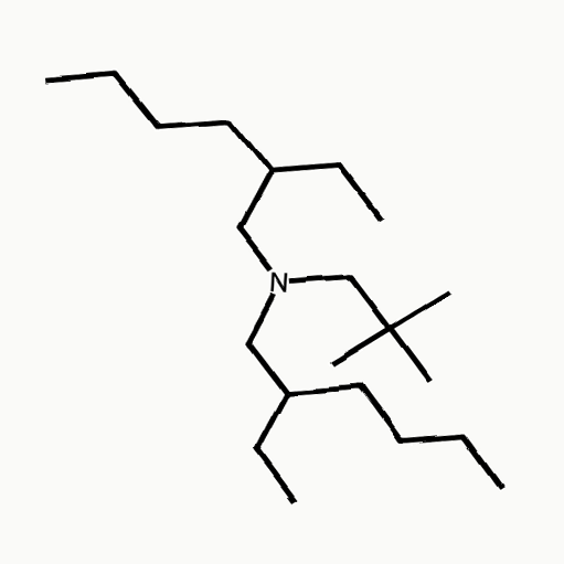 CCCCC(CC)CN(CC(CC)CCCC)CC(C)(C)C